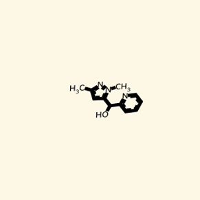 Cc1cc(C(O)c2ccccn2)n(C)n1